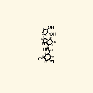 O[C@@H]1[C@H](O)CS[C@H]1c1cnc2c(NCc3cc(Cl)cc(Cl)c3)nccn12